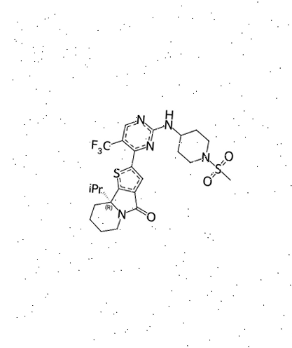 CC(C)[C@@]12CCCCN1C(=O)c1cc(-c3nc(NC4CCN(S(C)(=O)=O)CC4)ncc3C(F)(F)F)sc12